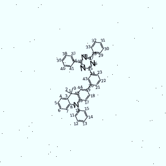 CC1(C)c2ccccc2N(c2ccccc2)c2ccc(-c3cccc(-c4nc(-c5ccccc5)nc(-c5ccccc5)n4)c3)cc21